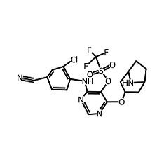 N#Cc1ccc(Nc2ncnc(OC3CC4CCC(C3)N4)c2OS(=O)(=O)C(F)(F)F)c(Cl)c1